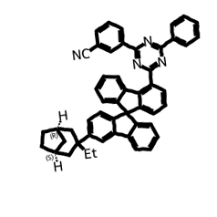 CCC1(c2ccc3c(c2)-c2ccccc2C32c3ccccc3-c3c(-c4nc(-c5ccccc5)nc(-c5cccc(C#N)c5)n4)cccc32)C[C@@H]2CC[C@@H](C2)C1